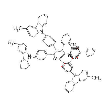 Cc1ccc2c(c1)c1ccccc1n2-c1ccc(-c2nc(-c3ccc(-n4c5ccccc5c5cc(C)ccc54)cc3)c(-c3ccccc3C)c(-c3ccccc3-c3nc(-c4ccccc4)nc(-c4ccccc4)n3)c2-c2ccc(-n3c4ccccc4c4cc(C)ccc43)cc2)cc1